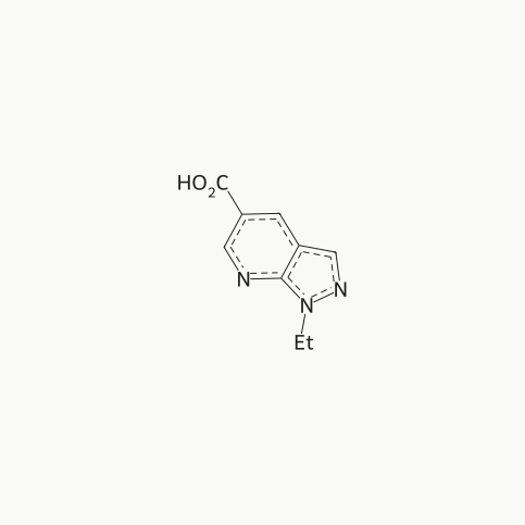 CCn1ncc2cc(C(=O)O)cnc21